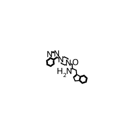 NC(CC1=CCc2ccccc21)C(=O)N1CCN(c2ncnc3ccccc23)CC1